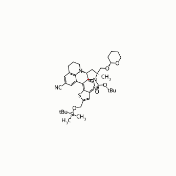 CC(C)(C)OC(=O)N1C[C@@H](N2CCCc3cc(C#N)cc(-c4ccnc5cc(CO[Si](C)(C)C(C)(C)C)sc45)c32)C[C@@]1(C)CO[C@H]1CCCCO1